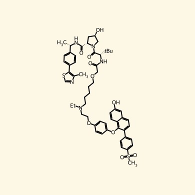 CCN(CCCCCOCC(=O)N[C@H](C(=O)N1C[C@H](O)C[C@H]1C(=O)N[C@@H](C)c1ccc(-c2scnc2C)cc1)C(C)(C)C)CCOc1ccc(Oc2c(-c3ccc(S(C)(=O)=O)cc3)ccc3cc(O)ccc23)cc1